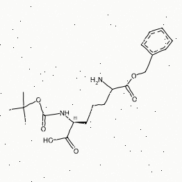 CC(C)(C)OC(=O)N[C@@H](CCCC(N)C(=O)OCc1ccccc1)C(=O)O